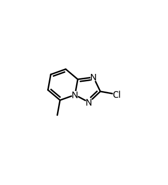 Cc1cccc2nc(Cl)nn12